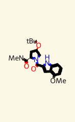 CNC(=O)[C@@H]1C[C@@H](OC(C)(C)C)CN1C(=O)c1cc2c(OC)cccc2[nH]1